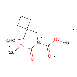 CC(C)(C)OC(=O)N(CC1(CC=O)CCC1)C(=O)OC(C)(C)C